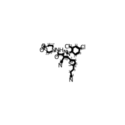 N#CCCc1ccc(-c2c(C#N)c(C(=O)NN3CCS(=O)(=O)CC3)nn2-c2ccc(Cl)cc2Cl)s1